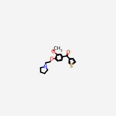 COc1cc(C(=O)c2ccsc2)ccc1OCCN1CCCC1